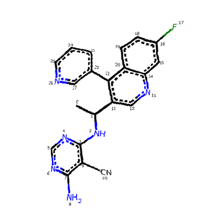 CC(Nc1ncnc(N)c1C#N)c1cnc2cc(F)ccc2c1-c1cccnc1